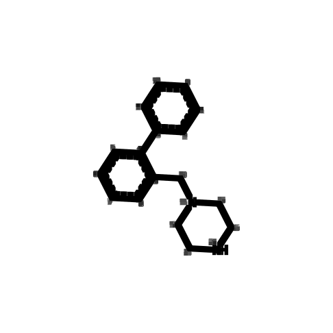 c1ccc(-c2ccccc2CN2CCNCC2)cc1